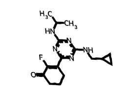 CC(C)Nc1nc(NCC2CC2)nc(C2=C(F)C(=O)CCC2)n1